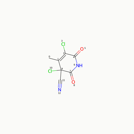 CC1=C(Cl)C(=O)NC(=O)C1(Cl)C#N